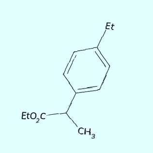 CCOC(=O)C(C)c1ccc(CC)cc1